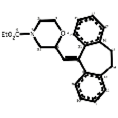 CCOC(=O)N1CCOC(C=C2c3ccccc3CCc3ccccc32)C1